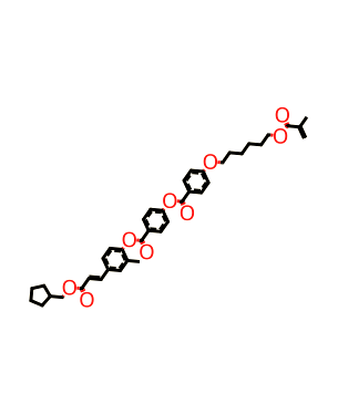 C=C(C)C(=O)OCCCCCCOc1ccc(C(=O)Oc2ccc(C(=O)Oc3ccc(/C=C/C(=O)OCC4CCCC4)cc3C)cc2)cc1